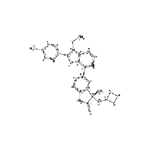 CCn1c(-c2cnc(C)nc2)nc2c(-c3ccc4c(c3)[C@](C)(NC3CCC3)C(=O)N4)ncnc21